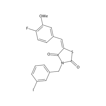 COc1cc(C=C2SC(=O)N(Cc3cccc(I)c3)C2=O)ccc1F